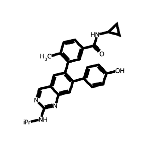 Cc1ccc(C(=O)NC2CC2)cc1-c1cc2cnc(NC(C)C)nc2cc1-c1ccc(O)cc1